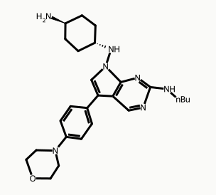 CCCCNc1ncc2c(-c3ccc(N4CCOCC4)cc3)cn(N[C@H]3CC[C@H](N)CC3)c2n1